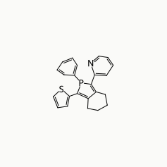 c1ccc(-p2c(-c3ccccn3)c3c(c2-c2cccs2)CCCC3)cc1